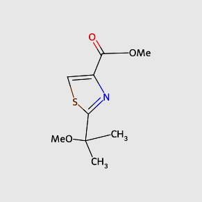 COC(=O)c1csc(C(C)(C)OC)n1